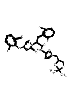 CC1(C)OCC(Cn2ccc(NC(=O)C(Cc3c(F)cccc3F)n3ncc(Oc4c(F)cccc4F)cc3=O)n2)O1